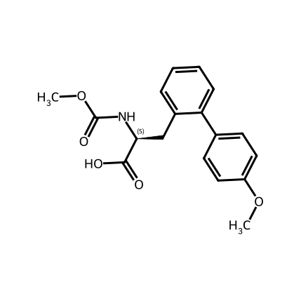 COC(=O)N[C@@H](Cc1ccccc1-c1ccc(OC)cc1)C(=O)O